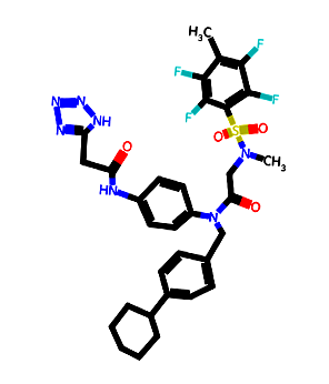 Cc1c(F)c(F)c(S(=O)(=O)N(C)CC(=O)N(Cc2ccc(C3CCCCC3)cc2)c2ccc(NC(=O)Cc3nnn[nH]3)cc2)c(F)c1F